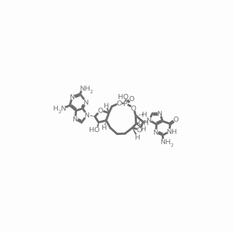 Nc1nc(N)c2ncn([C@@H]3O[C@@H]4COP(=O)(O)O[C@@H]5[C@H](O)[C@@H](CCC[C@H]4[C@H]3O)O[C@H]5n3cnc4c(=O)[nH]c(N)nc43)c2n1